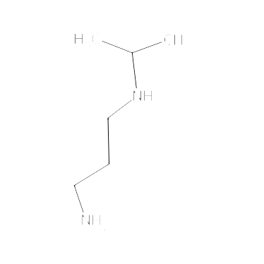 C[C](C)NCCCN